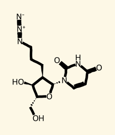 [N-]=[N+]=NCCC[C@@H]1[C@H](O)[C@@H](CO)O[C@H]1n1ccc(=O)[nH]c1=O